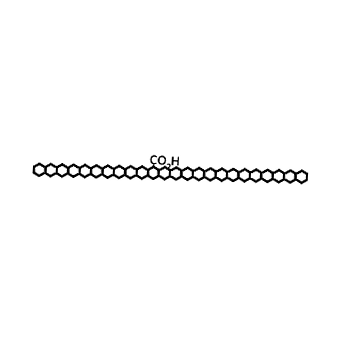 O=C(O)c1c2cc3cc4cc5cc6cc7cc8cc9cc%10cc%11ccccc%11cc%10cc9cc8cc7cc6cc5cc4cc3cc2cc2cc3cc4cc5cc6cc7cc8cc9cc%10cc%11cc%12cc%13cc%14ccccc%14cc%13cc%12cc%11cc%10cc9cc8cc7cc6cc5cc4cc3cc12